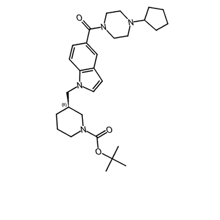 CC(C)(C)OC(=O)N1CCC[C@@H](Cn2ccc3cc(C(=O)N4CCN(C5CCCC5)CC4)ccc32)C1